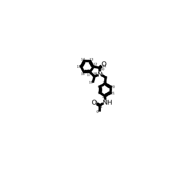 CC(=O)Nc1ccc(CN2C(=O)c3ccccc3C2C)cc1